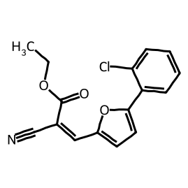 CCOC(=O)C(C#N)=Cc1ccc(-c2ccccc2Cl)o1